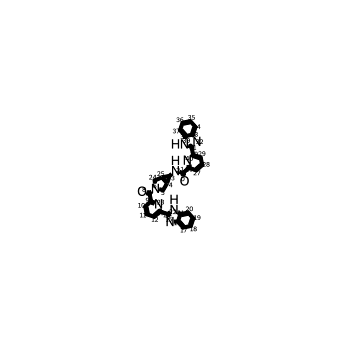 O=C(NC1C2CN(C(=O)c3cccc(-c4nc5ccccc5[nH]4)n3)CC21)c1cccc(-c2nc3ccccc3[nH]2)n1